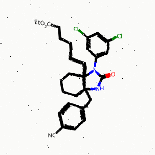 CCOC(=O)CCCCCC12CCCCC1(Cc1ccc(C#N)cc1)NC(=O)N2c1cc(Cl)cc(Cl)c1